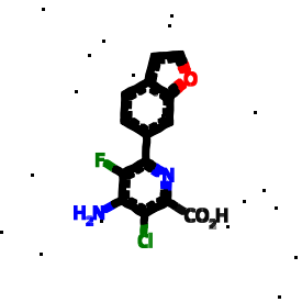 Nc1c(F)c(-c2ccc3ccoc3c2)nc(C(=O)O)c1Cl